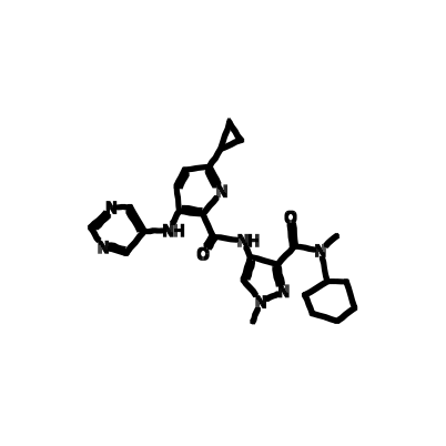 CN(C(=O)c1nn(C)cc1NC(=O)c1nc(C2CC2)ccc1Nc1cncnc1)C1CCCCC1